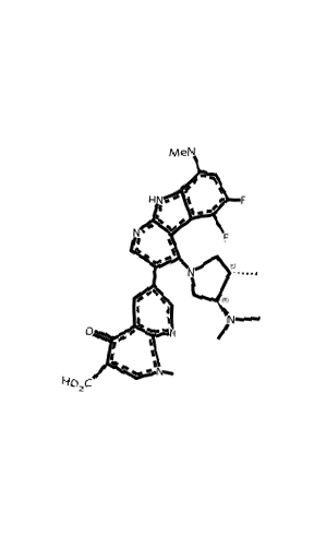 CNc1cc(F)c(F)c2c1[nH]c1ncc(-c3cnc4c(c3)c(=O)c(C(=O)O)cn4C)c(N3C[C@H](C)[C@@H](N(C)C)C3)c12